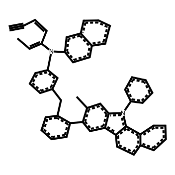 C#C/C=C\C(=C/C)N(c1cccc(Cc2ccccc2-c2cc3c4ccc5ccccc5c4n(-c4ccccc4)c3cc2C)c1)c1ccc2ccccc2c1